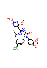 COc1ncc(-c2nc3c(n2C(C)C)[C@@H](c2ccc(Cl)cc2)N(c2ccc4c(c2)OCO4)C3=O)c(OC)n1